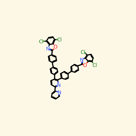 Clc1ccc(Cl)c2oc(-c3ccc(-c4ccc(-c5ccc(-c6ccccn6)nc5-c5ccc(-c6ccc(-c7nc8c(Cl)ccc(Cl)c8o7)cc6)cc5)cc4)cc3)nc12